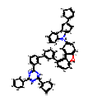 c1ccc(-c2ccc3c(c2)c2ccccc2n3-c2ccc3oc4cccc(-c5cccc(-c6cccc(-c7nc(-c8ccccc8)nc(-c8ccccc8)n7)c6)c5)c4c3c2)cc1